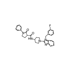 O=C(NC1CCN(c2nc3ccccc3n2Cc2cccc(F)c2)CC1)C1CCN(c2ccccc2)C1=O